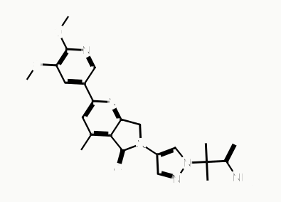 C=C(N)C(C)(C)n1cc(N2Cc3nc(-c4cnc(OC)c(OC)c4)cc(C)c3C2=O)cn1